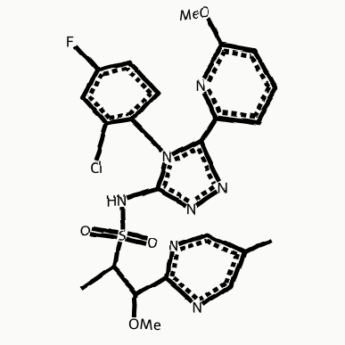 COc1cccc(-c2nnc(NS(=O)(=O)C(C)C(OC)c3ncc(C)cn3)n2-c2ccc(F)cc2Cl)n1